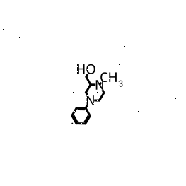 CN1CCN(c2cc[c]cc2)CC1CO